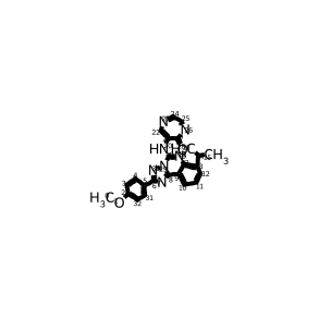 COc1ccc(-c2nc3c4cccc(C(C)C)c4nc(Nc4cnccnc4=O)n3n2)cc1